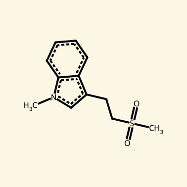 Cn1cc(CCS(C)(=O)=O)c2ccccc21